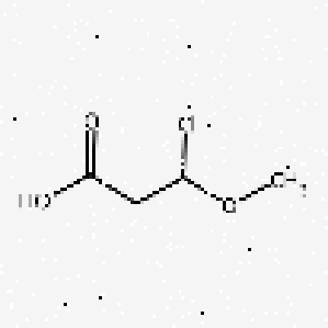 COC(Cl)CC(=O)O